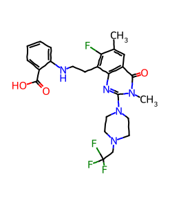 Cc1cc2c(=O)n(C)c(N3CCN(CC(F)(F)F)CC3)nc2c(CCNc2ccccc2C(=O)O)c1F